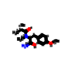 CC[C@H](C)[C@H](C)C(=O)N(C)[C@@H](Cc1ccc(OC(C)(C)C)cc1)C(N)=O